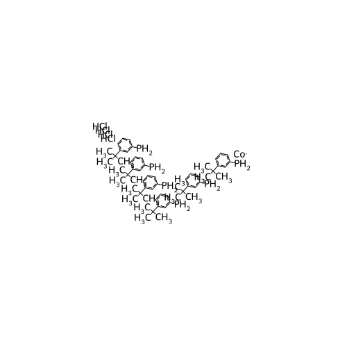 CC(C)(C)c1cccc(P)c1.CC(C)(C)c1cccc(P)c1.CC(C)(C)c1cccc(P)c1.CC(C)(C)c1cccc(P)c1.CC(C)(C)c1cccc(P)c1.CC(C)(C)c1cccc(P)c1.Cl.Cl.Cl.Cl.[Co]